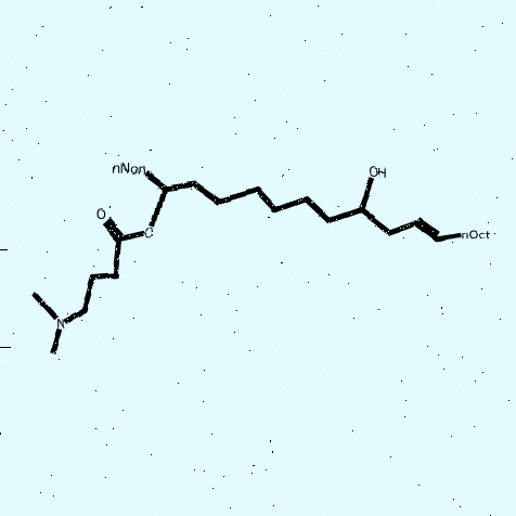 CCCCCCCC/C=C/CC(O)CCCCCCC(CCCCCCCCC)OC(=O)CCCN(C)C